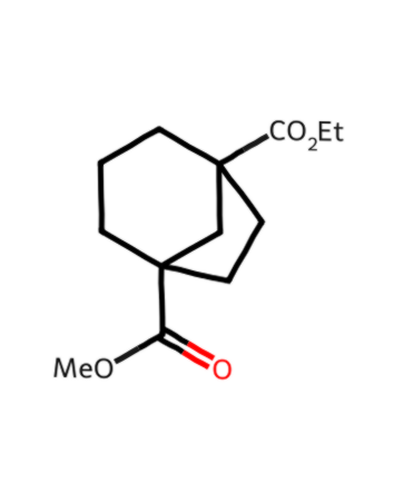 CCOC(=O)C12CCCC(C(=O)OC)(CC1)C2